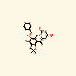 C=C(c1c(C)c(OCc2ccccc2)c(C)c2c1OC(C)(C)C2)[C@@H]1C[C@@H](O)CC(=O)O1